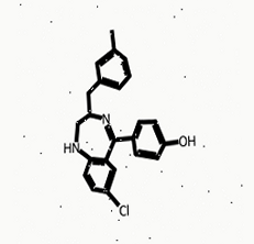 Cc1cccc(CC2CNc3ccc(Cl)cc3C(c3ccc(O)cc3)=N2)c1